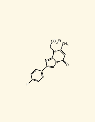 CCOC(=O)Cn1c(C)cc(=O)n2cc(-c3ccc(F)cc3)nc12